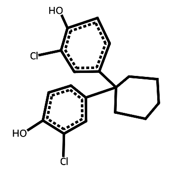 Oc1ccc(C2(c3ccc(O)c(Cl)c3)CCCCC2)cc1Cl